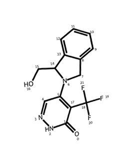 O=c1[nH]ncc(N2Cc3ccccc3C2CO)c1C(F)(F)F